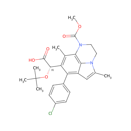 COC(=O)N1CCn2c(C)cc3c(-c4ccc(Cl)cc4)c([C@H](OC(C)(C)C)C(=O)O)c(C)c1c32